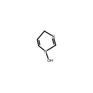 ON1C=CCN=C1